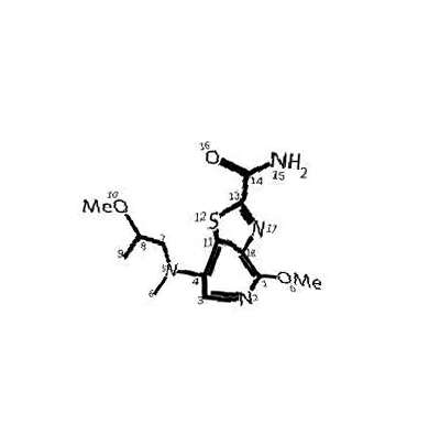 COc1ncc(N(C)CC(C)OC)c2sc(C(N)=O)nc12